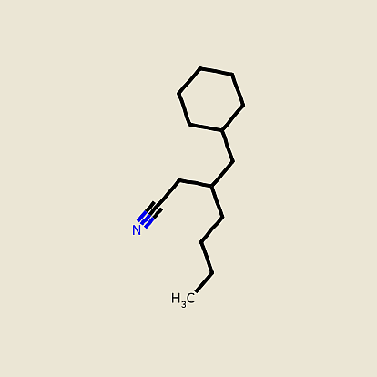 CCCCC(CC#N)CC1CCCCC1